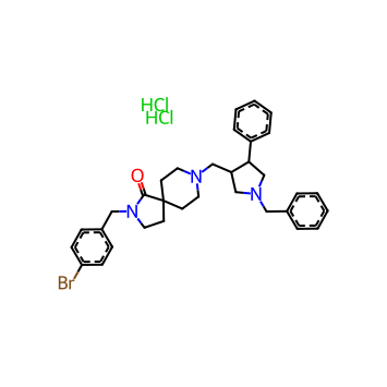 Cl.Cl.O=C1N(Cc2ccc(Br)cc2)CCC12CCN(CC1CN(Cc3ccccc3)CC1c1ccccc1)CC2